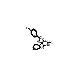 O=C1NC(=O)C(NC(=O)c2ccc(Cl)cc2)(c2ccccc2)C(=O)N1